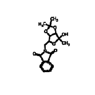 CC1(C)OC2C(CN3C(=O)c4ccccc4C3=O)OC(C)(O)C2O1